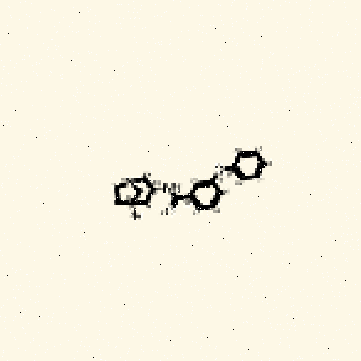 O=C(N[C@@H]1C[C@H]2CCN(C2)C1)c1cccc(Oc2ccccc2)c1